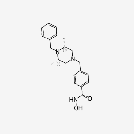 C[C@@H]1CN(Cc2ccc(C(=O)NO)cc2)C[C@H](C)N1Cc1ccccc1